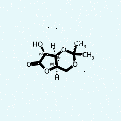 CC1(C)OC[C@H]2OC(=O)[C@@H](O)[C@H]2O1